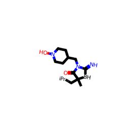 CC(C)CC1(C)BC(=N)N(CC2CCN(O)CC2)C1=O